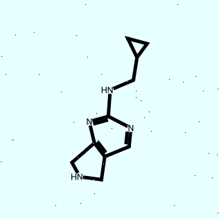 c1nc(NCC2CC2)nc2c1CNC2